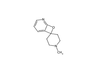 CN1CCC2(CC1)Oc1ncccc12